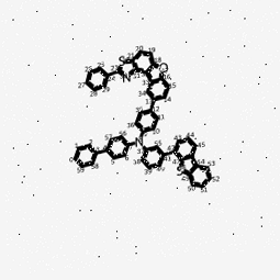 c1ccc(-c2ccc(N(c3ccc(-c4ccc5oc6ccc7sc(-c8ccccc8)nc7c6c5c4)cc3)c3cccc(-c4cccc5c4sc4ccccc45)c3)cc2)cc1